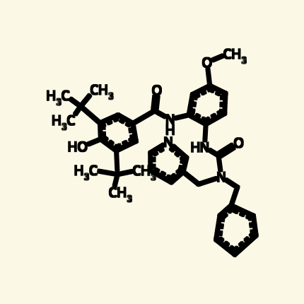 COc1ccc(NC(=O)N(Cc2ccccc2)Cc2cccnc2)c(NC(=O)c2cc(C(C)(C)C)c(O)c(C(C)(C)C)c2)c1